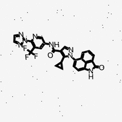 O=C(Nc1cnc(-n2nccn2)c(C(F)(F)F)c1)c1cnn(-c2ccc3c4c(cccc24)C(=O)N3)c1C1CC1